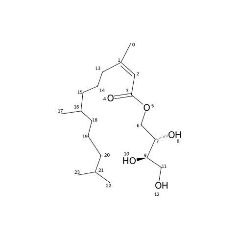 CC(=CC(=O)OC[C@H](O)[C@H](O)CO)CCCC(C)CCCC(C)C